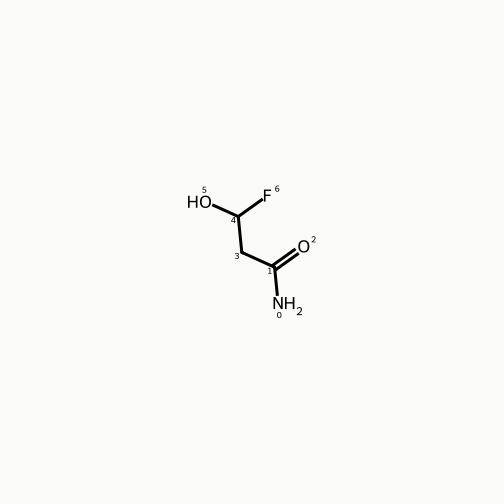 NC(=O)CC(O)F